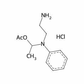 CC(=O)OC(C)N(CCN)c1ccccc1.Cl